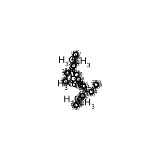 CC1(C)CCc2c(N(c3ccc([Si](C)(C)c4ccccc4)cc3)c3cccc(-c4ccccc4)c3)ccc3cc4c(oc5cc(C(c6ccc([Si](C)(C)c7ccccc7)cc6)c6cccc(-c7ccccc7)c6)ccc54)c1c23